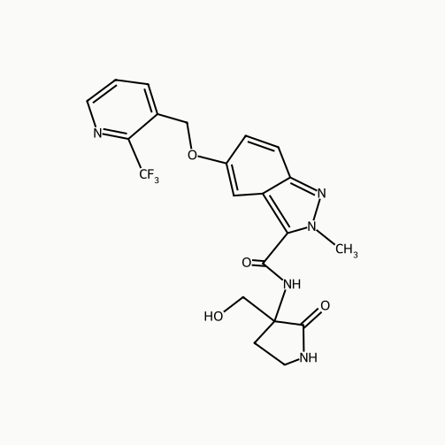 Cn1nc2ccc(OCc3cccnc3C(F)(F)F)cc2c1C(=O)NC1(CO)CCNC1=O